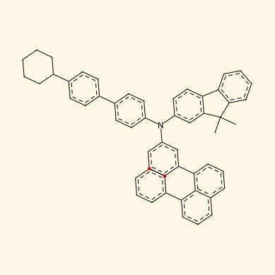 CC1(C)c2ccccc2-c2ccc(N(c3ccc(-c4ccc(C5CCCCC5)cc4)cc3)c3cccc(-c4cccc5cccc(-c6ccccc6)c45)c3)cc21